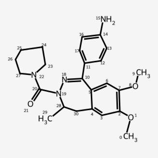 COc1cc2c(cc1OC)C(c1ccc(N)cc1)=NN(C(=O)N1CCCCC1)C(C)C2